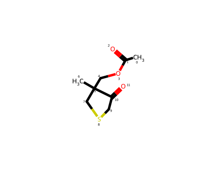 CC(=O)OCC1(C)CSCC1=O